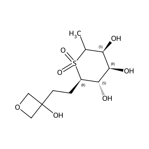 CC1[C@@H](O)[C@@H](O)[C@H](O)[C@@H](CCC2(O)COC2)S1(=O)=O